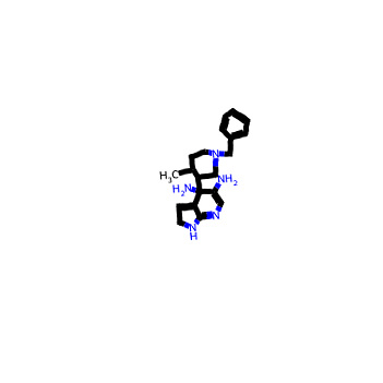 CC1CCN(Cc2ccccc2)CC1C1(N)C(N)=CN=C2NCC=C21